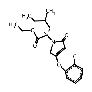 CCOC(=O)[C@H](CC(C)CC)N1CC(Oc2ccccc2Cl)=CC1=O